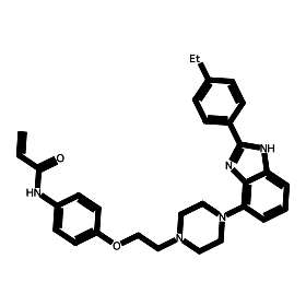 C=CC(=O)Nc1ccc(OCCN2CCN(c3cccc4[nH]c(-c5ccc(CC)cc5)nc34)CC2)cc1